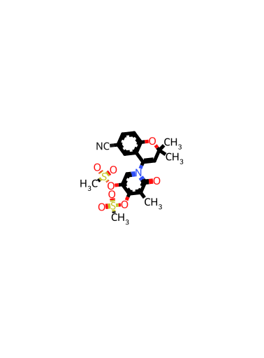 Cc1c(OS(C)(=O)=O)c(OS(C)(=O)=O)cn(C2=CC(C)(C)Oc3ccc(C#N)cc32)c1=O